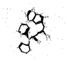 CC(CC(=O)N(c1ccccn1)C1CCCCC1)Cc1ccc2c(c1)OCO2